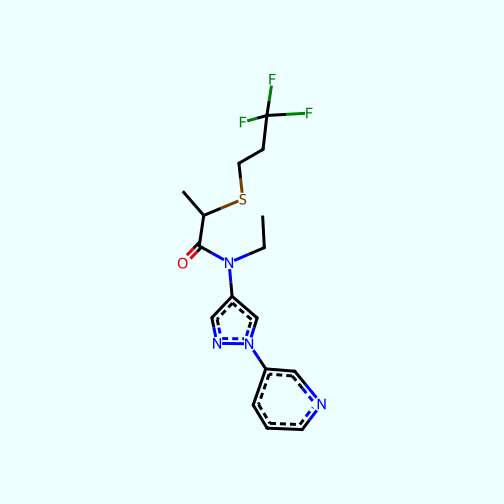 CCN(C(=O)C(C)SCCC(F)(F)F)c1cnn(-c2cccnc2)c1